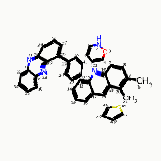 C1=CNOC=C1.Cc1ccc2nc3ccccc3cc2c1C.c1ccc(-c2cccc3nc4ccccc4nc23)cc1.c1ccsc1